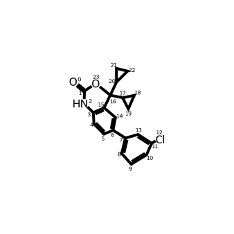 O=C1Nc2ccc(-c3cccc(Cl)c3)cc2C(C2CC2)(C2CC2)O1